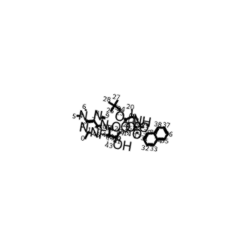 Cc1nc(N(C)C)c2ncn([C@@H]3O[C@H](CO[P@@](=O)(N[C@H](C)C(=O)OCC(C)(C)C)Oc4cccc5ccccc45)[C@@H](O)[C@@]3(C)F)c2n1